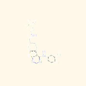 CS(=O)(=O)CCNCC1CCc2c(sc3ncnc(Nc4ccc(F)c(Cl)c4)c23)C1